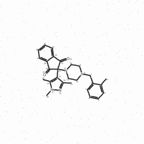 Cc1ccccc1CN1CCN(C2(c3c(C)nn(C)c3C)C(=O)c3ccccc3C2=O)CC1